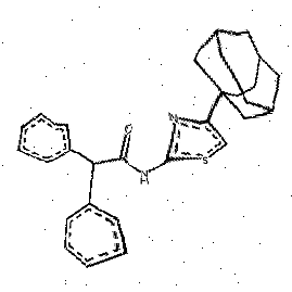 O=C(Nc1nc(C23CC4CC(CC(C4)C2)C3)cs1)C(c1ccccc1)c1ccccc1